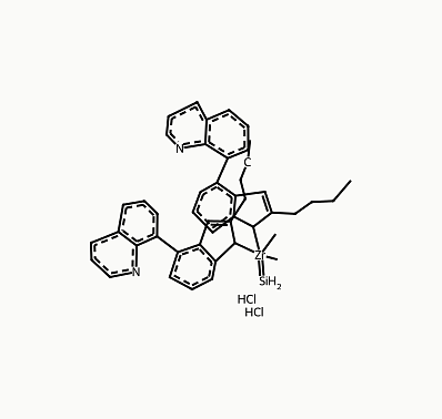 CCCCC1=Cc2c(-c3cccc4cccnc34)cccc2[CH]1[Zr]([CH3])([CH3])(=[SiH2])[CH]1C(CCCC)=Cc2c(-c3cccc4cccnc34)cccc21.Cl.Cl